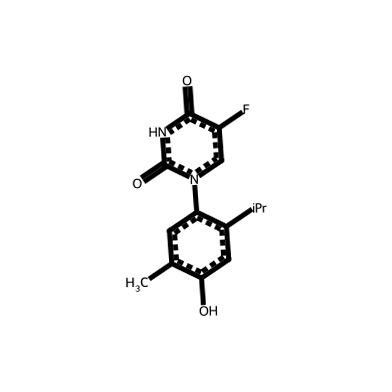 Cc1cc(-n2cc(F)c(=O)[nH]c2=O)c(C(C)C)cc1O